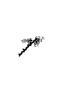 CCOP(=O)(OCC)C(CCC(/C=C(\C)CC/C=C(\C)CCC=C(C)C)O[Si](C)(C)C(C)(C)C)S(=O)(=O)O